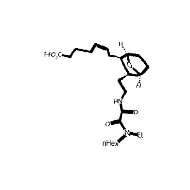 CCCCCCN(CC)C(=O)C(=O)NCC[C@H]1[C@@H](C/C=C\CCCC(=O)O)[C@H]2CC[C@@H]1O2